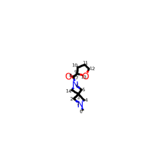 CN1CC2(C1)CN(C(=O)C1CCCO1)C2